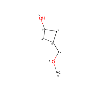 CC(=O)OCC1CC(O)C1